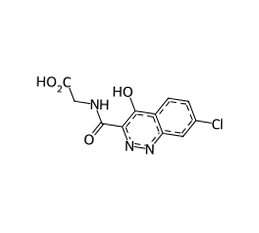 O=C(O)CNC(=O)c1nnc2cc(Cl)ccc2c1O